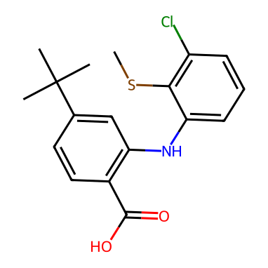 CSc1c(Cl)cccc1Nc1cc(C(C)(C)C)ccc1C(=O)O